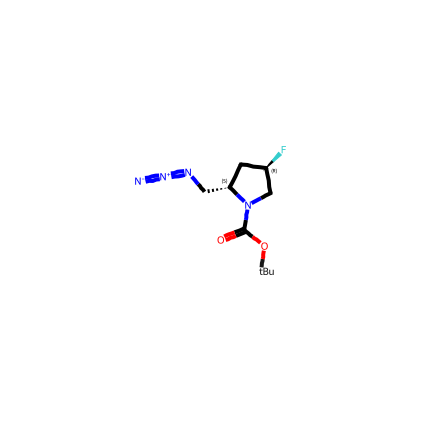 CC(C)(C)OC(=O)N1C[C@H](F)C[C@H]1CN=[N+]=[N-]